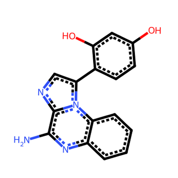 Nc1nc2ccccc2n2c(-c3ccc(O)cc3O)cnc12